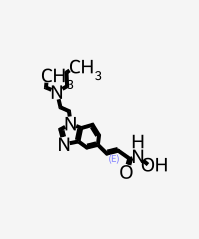 CCCN(CC)CCn1cnc2cc(/C=C/C(=O)NO)ccc21